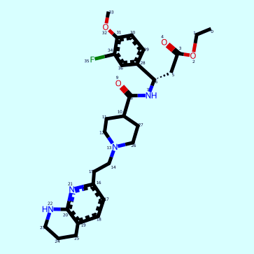 CCOC(=O)C[C@H](NC(=O)C1CCN(CCc2ccc3c(n2)NCCC3)CC1)c1ccc(OC)c(F)c1